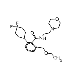 CCOCc1cccc(C2CCC(F)(F)CC2)c1C(=O)NCCN1CCOCC1